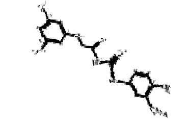 COc1cc(NC(=O)NC(=O)COc2cc(C(F)(F)F)cc(C(F)(F)F)c2)ccc1Br